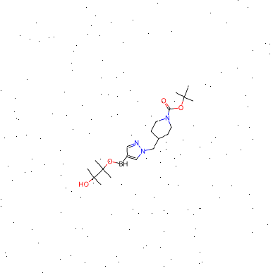 CC(C)(C)OC(=O)N1CCC(Cn2cc(BOC(C)(C)C(C)(C)O)cn2)CC1